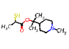 CC(S)C(=O)OC(C)(C)C1CCN(C)CC1